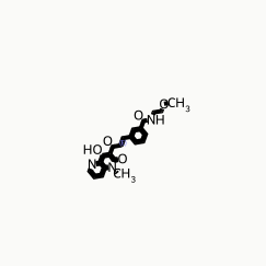 COCCNC(=O)c1cccc(/C=C/C(=O)c2c(O)c3ncccc3n(C)c2=O)c1